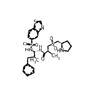 CC(CS(=O)(=O)C[C@H]1CCCN1)C(=O)N[C@@H](NS(=O)(=O)c1ccc2scnc2c1)[C@@H](C)Cc1ccccc1